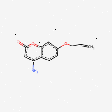 C=CCOc1ccc2c(N)cc(=O)oc2c1